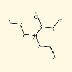 CCCN(CCC)C(Cl)CC